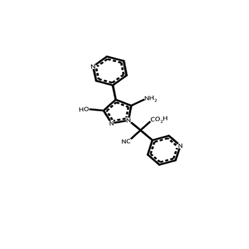 N#CC(C(=O)O)(c1cccnc1)n1nc(O)c(-c2cccnc2)c1N